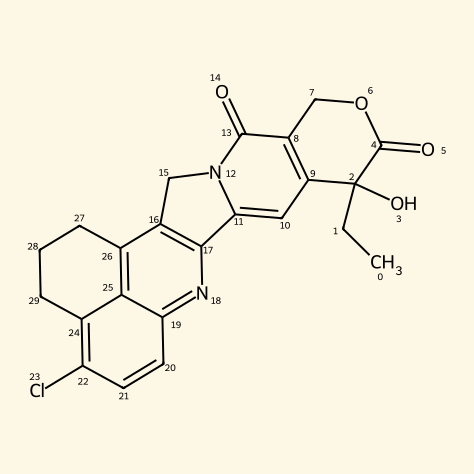 CCC1(O)C(=O)OCc2c1cc1n(c2=O)Cc2c-1nc1ccc(Cl)c3c1c2CCC3